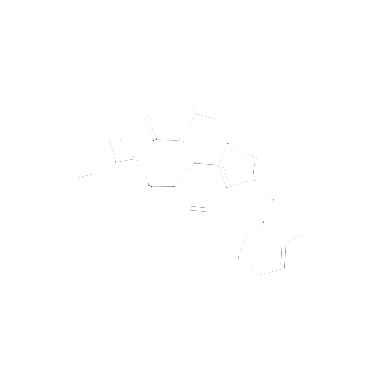 COC(C)n1c(-c2cnn(Cc3ccccc3F)c2)c([N+](=O)[O-])c(=O)n(C(C)OC)c1=O